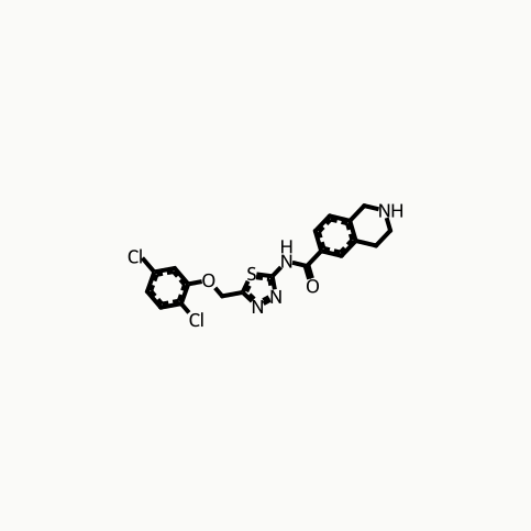 O=C(Nc1nnc(COc2cc(Cl)ccc2Cl)s1)c1ccc2c(c1)CCNC2